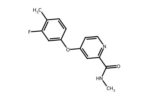 CNC(=O)c1cc(Oc2ccc(C)c(F)c2)ccn1